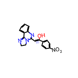 O=[N+]([O-])c1ccc(/C(O)=C/C2=Nc3ccccc3C3=NCCN23)cc1